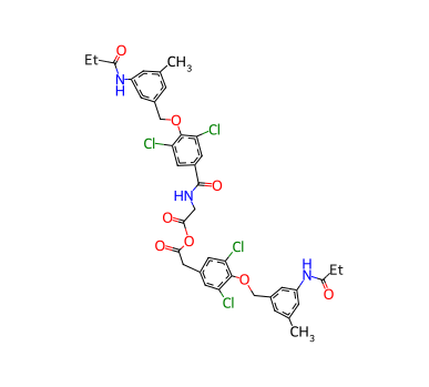 CCC(=O)Nc1cc(C)cc(COc2c(Cl)cc(CC(=O)OC(=O)CNC(=O)c3cc(Cl)c(OCc4cc(C)cc(NC(=O)CC)c4)c(Cl)c3)cc2Cl)c1